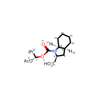 CC(=O)O[C@@H](OC(=O)N1[C@H](C(=O)O)C[C@@H]2CCCC[C@@H]21)C(C)C